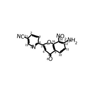 N#Cc1ccc(-c2cc(=O)c3ccc(N)c([N+](=O)[O-])c3o2)nc1